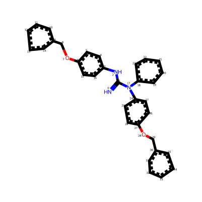 N=C(Nc1ccc(OCc2ccccc2)cc1)N(c1ccccc1)c1ccc(OCc2ccccc2)cc1